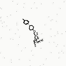 Cc1ccc([C@H]2CC[C@H](OCCC[Si](N=C=S)(N=C=S)N=C=S)CC2)cc1